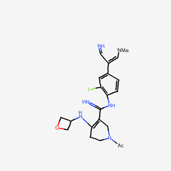 CN/C=C(\C=N)c1ccc(NC(=N)C2=C(NC3COC3)CCN(C(C)=O)C2)c(F)c1